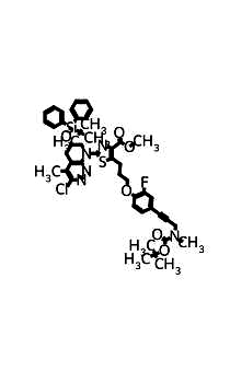 COC(=O)c1nc(N2CC(O[Si](c3ccccc3)(c3ccccc3)C(C)(C)C)Cc3c2nnc(Cl)c3C)sc1CCCOc1ccc(C#CCN(C)C(=O)OC(C)(C)C)cc1F